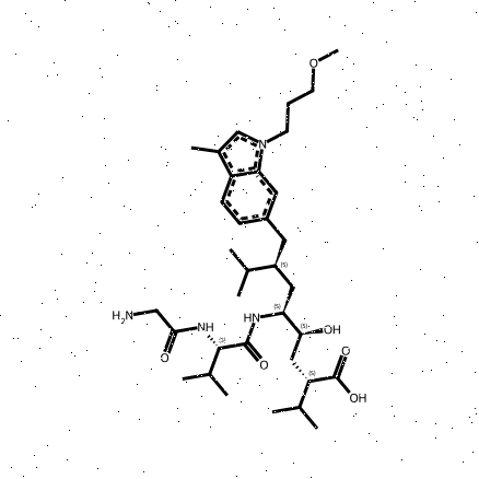 COCCCn1cc(C)c2ccc(C[C@@H](C[C@H](NC(=O)[C@@H](NC(=O)CN)C(C)C)[C@@H](O)C[C@H](C(=O)O)C(C)C)C(C)C)cc21